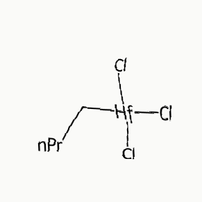 CCC[CH2][Hf]([Cl])([Cl])[Cl]